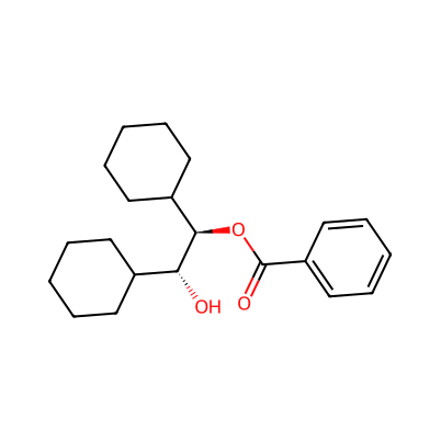 O=C(O[C@H](C1CCCCC1)[C@H](O)C1CCCCC1)c1ccccc1